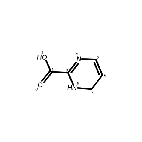 O=C(O)C1=NC=CCN1